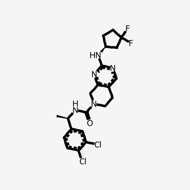 C[C@@H](NC(=O)N1CCc2cnc(N[C@H]3CCC(F)(F)C3)nc2C1)c1ccc(Cl)c(Cl)c1